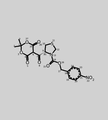 CC1(C)OC(=O)C(C(=O)[C@@H]2CSCN2C(=O)OCc2ccc([N+](=O)[O-])cc2)C(=O)O1